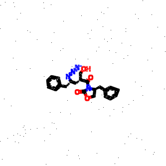 [N-]=[N+]=N[C@@H](Cc1ccccc1)C[C@H](CO)C(=O)N1C(=O)OC[C@@H]1Cc1ccccc1